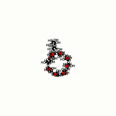 OC[C@H]1O[C@@H]2O[C@H]3[C@H](O)[C@@H](O)[C@@H](O[C@H]4[C@H](O)[C@@H](O)[C@@H](O[C@H]5[C@H](O)[C@@H](O)[C@@H](O[C@H]6[C@H](O)[C@@H](O)[C@@H](O[C@H]7[C@H](O)[C@@H](O)[C@@H](O[C@H]8[C@H](O)[C@@H](O)[C@@H](O[C@H]9[C@H](O)[C@@H](O)[C@@H](O[C@H]1[C@H](O)[C@H]2O)O[C@@H]9CO)O[C@@H]8CO)O[C@@H]7CO)O[C@@H]6CO)O[C@@H]5CO)O[C@@H]4CO)O[C@@H]3CO.OC[C@H]1O[C@H](O[C@H]2[C@H](O)[C@@H](O)C(O)O[C@@H]2CO)[C@H](O)[C@@H](O)[C@@H]1O